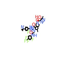 Cc1ncnc(C(=O)N2CCC3(CC2)CC(C)c2c3c(=O)n3nc(-c4ccc(C5(N(C)C)CC5)cc4F)nc3n2CC(=O)Nc2ccc(C(F)(F)F)cc2F)c1O